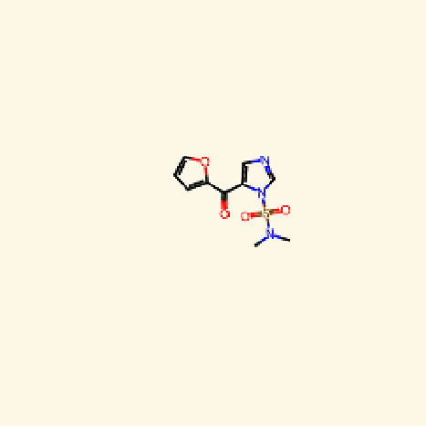 CN(C)S(=O)(=O)n1cncc1C(=O)c1ccco1